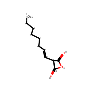 CCCCCCCCCCCCC/C=C/C1C(=O)OC1=O